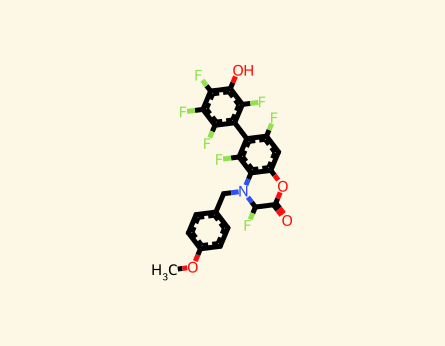 COc1ccc(CN2c3c(cc(F)c(-c4c(F)c(O)c(F)c(F)c4F)c3F)OC(=O)C2F)cc1